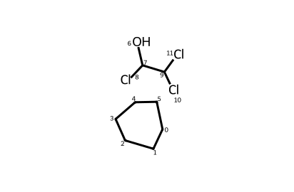 C1CCCCC1.OC(Cl)C(Cl)Cl